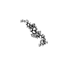 COc1ccc(CN2c3cccc(Nc4cc([C@H]5CC[C@@H](OC(=O)NC(C)C)C5)nn4C(C)(C)C)c3CCS2(=O)=O)cc1